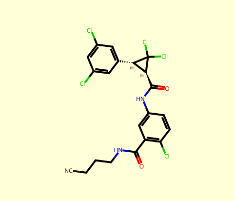 N#CCCCNC(=O)c1cc(NC(=O)[C@H]2[C@H](c3cc(Cl)cc(Cl)c3)C2(Cl)Cl)ccc1Cl